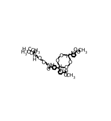 COC(=O)c1cccc(CN2CCOCCOCCN(C(c3ccc(C(=O)NCCOCCOCCNC(=O)OC(C)(C)C)cc3)c3cccc(C(=O)OC)n3)CCOCCOCC2)n1